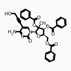 C[C@@]1(OC(=O)c2ccccc2)[C@H](OC(=O)c2ccccc2)[C@@H](COC(=O)c2ccccc2)O[C@H]1n1cc(C#CCO)c(N)nc1=O